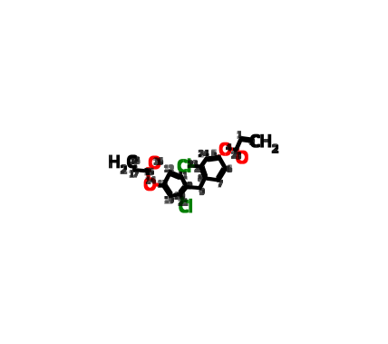 C=CC(=O)Oc1ccc(Cc2ccc(OC(=O)C=C)cc2Cl)c(Cl)c1